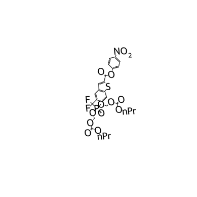 CCCOC(=O)OCOP(=O)(OCOC(=O)OCCC)C(F)(F)c1ccc2sc(C(=O)Oc3ccc([N+](=O)[O-])cc3)cc2c1